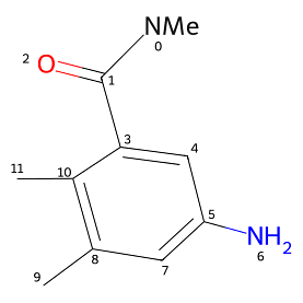 CNC(=O)c1cc(N)cc(C)c1C